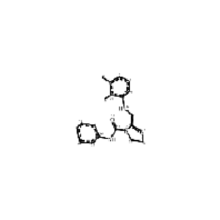 Cc1cccc(NCC2=NCCN2C(=O)Nc2ccccc2)c1C